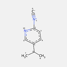 [C-]#[N+]c1ccc(C(C)C)cn1